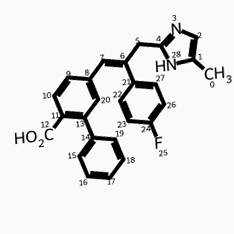 Cc1cnc(CC(=Cc2ccc(C(=O)O)c(-c3ccccc3)c2)c2ccc(F)cc2)[nH]1